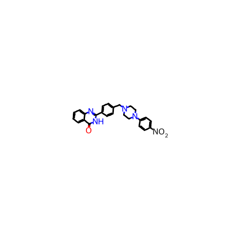 O=c1[nH]c(-c2ccc(CN3CCN(c4ccc([N+](=O)[O-])cc4)CC3)cc2)nc2ccccc12